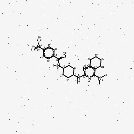 CN(C)c1nc(NC2CCC(NC(=O)c3ccc([N+](=O)[O-])cc3)CC2)nc2c1CCCC2